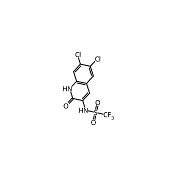 O=c1[nH]c2cc(Cl)c(Cl)cc2cc1NS(=O)(=O)C(F)(F)F